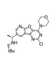 C[C@H](NSC(C)(C)C)c1cnc2oc3c(N4CCOCC4)nc(Cl)nc3c2c1